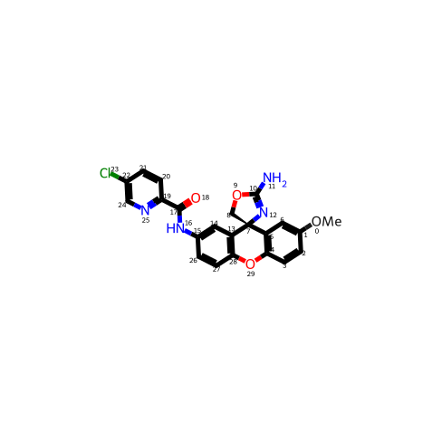 COc1ccc2c(c1)[C@]1(COC(N)=N1)c1cc(NC(=O)c3ccc(Cl)cn3)ccc1O2